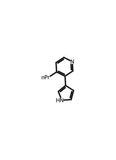 CCCc1ccncc1-c1cc[nH]c1